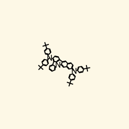 CC(C)(C)c1ccc(N(c2ccc(C(C)(C)C)cc2)c2ccc3cc4c5ccc(N(c6ccc(C(C)(C)C)cc6)c6ccc(C(C)(C)C)cc6)c6c7ccccc7n(c4cc3c2)c56)cc1